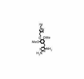 COc1cc(Cc2cnc(N)nc2N)cc(OC)c1OCCc1cn(C[18F])nn1